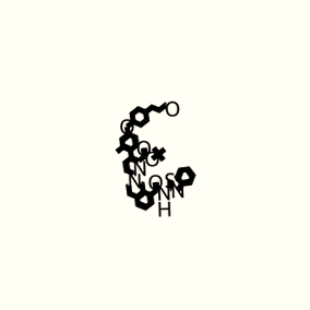 Cc1cc(OC2CCC(CCC=O)CC2)ccc1-c1ccc(N2CCc3cccc(C(=O)Nc4nc5ccccc5s4)c3C2)nc1C(=O)OC(C)(C)C